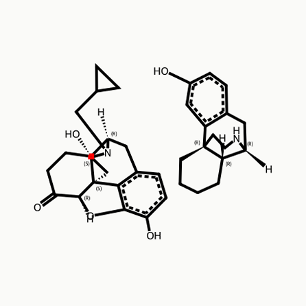 O=C1CC[C@@]2(O)[C@H]3Cc4ccc(O)c5c4[C@@]2(CCN3CC2CC2)[C@H]1O5.Oc1ccc2c(c1)[C@@]13CCCC[C@H]1[C@@H](C2)NCC3